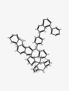 c1ccc(-c2cccc3ccc(-c4ccc(N(c5ccc6ccc7c8ccccc8oc7c6c5)c5cccc6c5-c5ccccc5C65c6ccccc6Oc6ccccc65)cc4)cc23)cc1